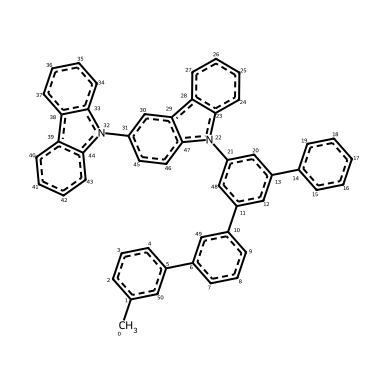 Cc1cccc(-c2cccc(-c3cc(-c4ccccc4)cc(-n4c5ccccc5c5cc(-n6c7ccccc7c7ccccc76)ccc54)c3)c2)c1